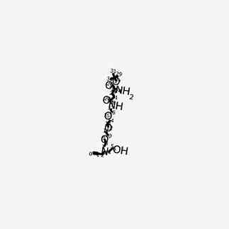 C#CCN(CCO)CCOCCOCCOCCNC(=O)CC[C@H](N)C(=O)OC(C)(C)C